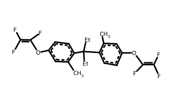 CCC(CC)(c1ccc(OC(F)=C(F)F)cc1C)c1ccc(OC(F)=C(F)F)cc1C